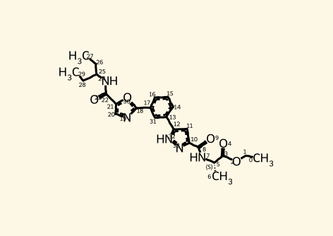 CCOC(=O)[C@H](C)NC(=O)c1cc(-c2cccc(-c3ncc(C(=O)NC(CC)CC)o3)c2)[nH]n1